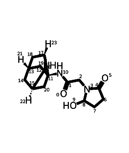 O=C(CN1C(=O)CCC1O)N[C@@]12C[C@@H]3C[C@@H](C[C@H](C3)N1)C2